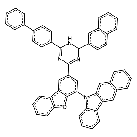 c1ccc(-c2ccc(C3=NC(c4cc(-n5c6ccccc6c6cc7ccccc7cc65)c5oc6ccccc6c5c4)=NC(c4ccc5ccccc5c4)N3)cc2)cc1